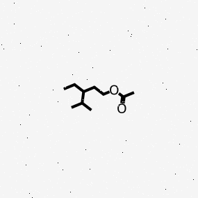 CCC(CCOC(C)=O)C(C)C